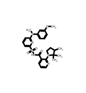 COc1cccc(N(C)c2cccc(S(=O)(=O)NC(=O)c3cccnc3N3CCC(C)C3(C)C)n2)c1